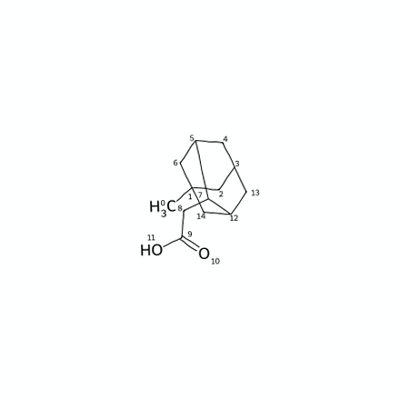 CC12CC3CC(C1)C(CC(=O)O)C(C3)C2